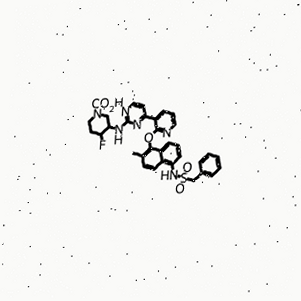 Cc1ccc2c(NS(=O)(=O)Cc3ccccc3)cccc2c1Oc1ncccc1-c1ccnc(NC2CN(C(=O)O)CCC2F)n1